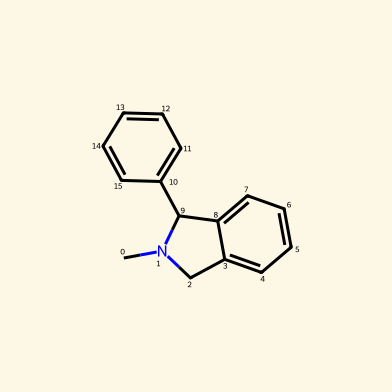 CN1Cc2ccccc2C1c1ccccc1